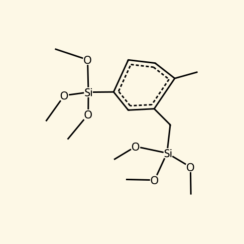 CO[Si](Cc1cc([Si](OC)(OC)OC)ccc1C)(OC)OC